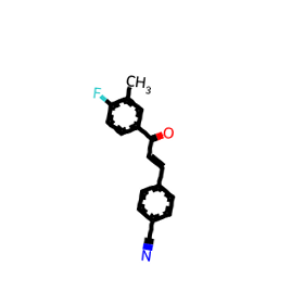 Cc1cc(C(=O)/C=C/c2ccc(C#N)cc2)ccc1F